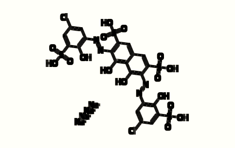 O=S(=O)(O)c1cc(Cl)cc(N=Nc2c(S(=O)(=O)O)cc3cc(S(=O)(=O)O)c(N=Nc4cc(Cl)cc(S(=O)(=O)O)c4O)c(O)c3c2O)c1O.[Na].[Na].[Na].[Na]